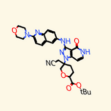 CC(C)(C)OC(=O)C1CCC(CC#N)(n2nc(Nc3ccc4nc(N5CCOCC5)ccc4c3)c3c(=O)[nH]ccc32)CO1